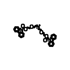 CN(CCOCCOC(=O)n1c2ccccc2c2ccccc21)CCOCCOC(=O)n1c2ccccc2c2ccccc21